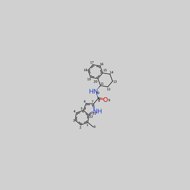 Cc1cccc2cc(C(=O)NC3CCCc4ccccc43)[nH]c12